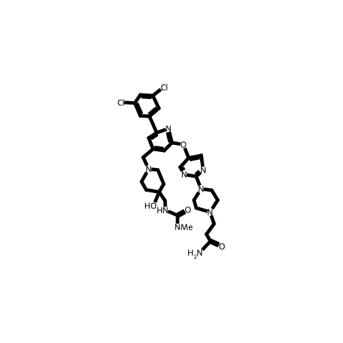 CNC(=O)NCC1(O)CCN(Cc2cc(Oc3cnc(N4CCN(CCC(N)=O)CC4)nc3)nc(-c3cc(Cl)cc(Cl)c3)c2)CC1